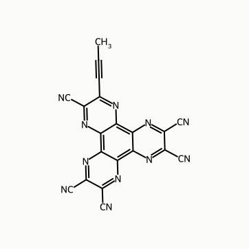 CC#Cc1nc2c3nc(C#N)c(C#N)nc3c3nc(C#N)c(C#N)nc3c2nc1C#N